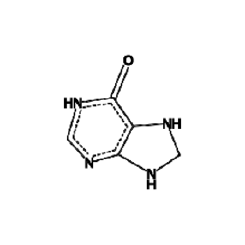 O=c1[nH]cnc2c1NCN2